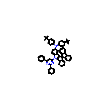 CC(C)(C)c1ccc(N(c2ccc(C(C)(C)C)cc2)c2ccc3c(c2)c2c(n3-c3cc(-c4ccccc4)nc(-c4ccccc4)n3)-c3ccccc3C23c2ccccc2-c2ccccc23)cc1